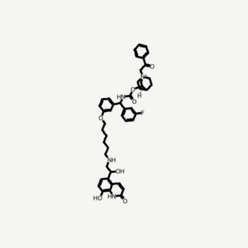 O=C(NC(c1cccc(F)c1)c1cccc(OCCCCCCNCC(O)c2ccc(O)c3[nH]c(=O)ccc23)c1)O[C@H]1C[N+]2(CC(=O)c3ccccc3)CCC1CC2